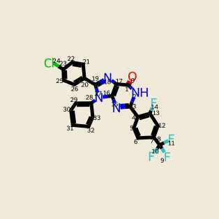 O=c1[nH]c(-c2ccc(C(F)(F)F)cc2F)nc2c1nc(-c1ccc(Cl)cc1)n2-c1ccccc1